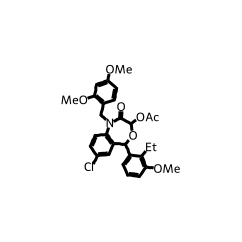 CCc1c(OC)cccc1C1OC(OC(C)=O)C(=O)N(Cc2ccc(OC)cc2OC)c2ccc(Cl)cc21